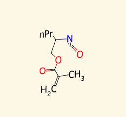 C=C(C)C(=O)OCC(CCC)N=C=O